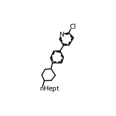 CCCCCCCC1CCC(c2ccc(-c3ccc(Cl)nc3)cc2)CC1